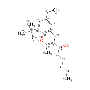 CCCCCC(=O)C1=C(C)Oc2c(cc(CC)cc2C(C)(C)C)C1